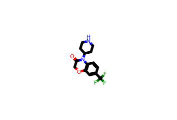 O=C1COc2cc(C(F)(F)F)ccc2N1C1CCNCC1